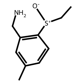 CC[S+]([O-])c1ccc(C)cc1CN